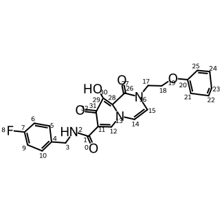 O=C(NCc1ccc(F)cc1)c1cn2ccn(CCOc3ccccc3)c(=O)c2c(O)c1=O